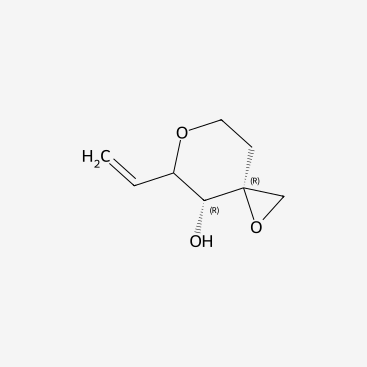 C=CC1OCC[C@@]2(CO2)[C@@H]1O